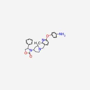 Cc1nc(Oc2ccc(N)cc2)ccc1CN1CCC(N2C(=O)OCC2c2ccccc2)CC1